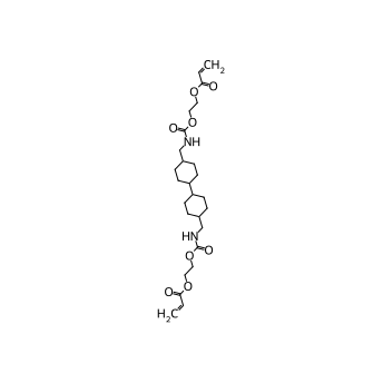 C=CC(=O)OCCOC(=O)NCC1CCC(C2CCC(CNC(=O)OCCOC(=O)C=C)CC2)CC1